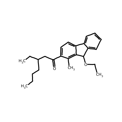 CCCCC(CC)CC(=O)c1ccc2c(c1C)C(OCC)c1ccccc1-2